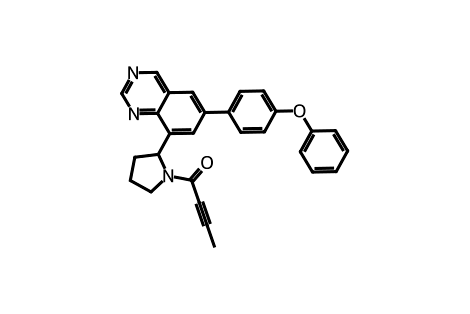 CC#CC(=O)N1CCCC1c1cc(-c2ccc(Oc3ccccc3)cc2)cc2cncnc12